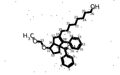 C=C(c1ccccc1)C12CCC(OCOC)C1CC(CCCCCCCCO)=C2c1ccccc1